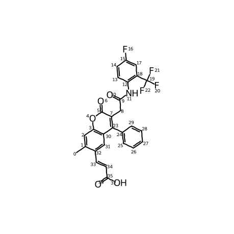 Cc1cc2oc(=O)c(CC(=O)Nc3ccc(F)cc3C(F)(F)F)c(-c3ccccc3)c2cc1C=CC(=O)O